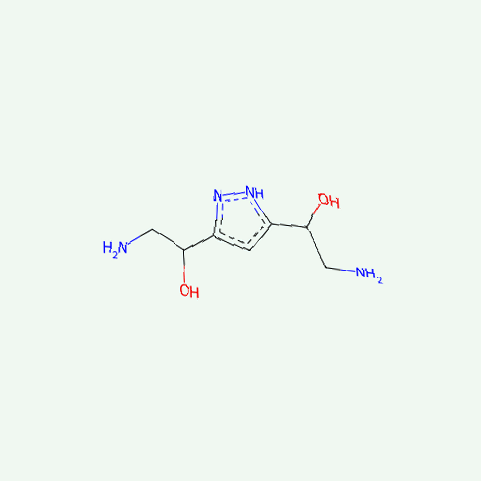 NCC(O)c1cc(C(O)CN)[nH]n1